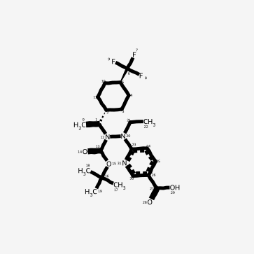 C=C([C@H]1CC[C@H](C(F)(F)F)CC1)N(C(=O)OC(C)(C)C)N(CC)c1ccc(C(=O)O)cn1